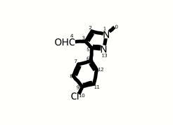 Cn1cc(C=O)c(-c2ccc(Cl)cc2)n1